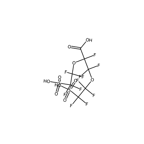 O=C(O)C(F)(OC(F)(F)C(F)(F)S(=O)(=O)O)C(F)(F)OC(F)(F)C(F)(F)S(=O)(=O)O